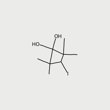 CC1(C)C(I)C(C)(C)C1(O)O